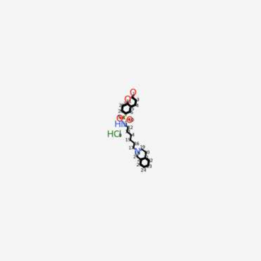 Cl.O=c1ccc2cc(S(=O)(=O)NCCCCCCN3CCc4ccccc4C3)ccc2o1